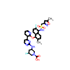 Cc1cc(CS(=O)(=O)Nc2c(F)ccc3c(Oc4ncccc4-c4ccnc(NC5CC(F)CN(C(=O)O)C5)n4)c(C)ccc23)no1